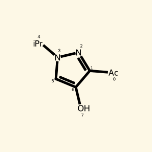 CC(=O)c1nn(C(C)C)cc1O